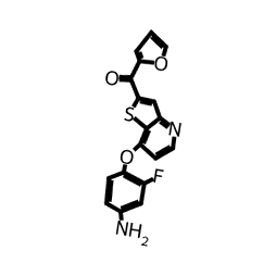 Nc1ccc(Oc2ccnc3cc(C(=O)c4ccco4)sc23)c(F)c1